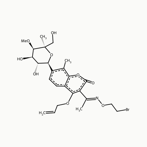 C=CCOc1c(C(C)=NOCCBr)c(=O)oc2c(C)c([C@@H]3O[C@](C)(CO)[C@H](OC)[C@H](O)[C@H]3O)ccc12